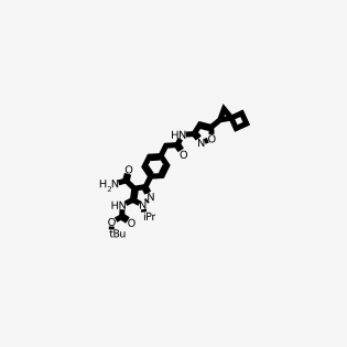 CC(C)n1nc(-c2ccc(CC(=O)Nc3cc(C4CC45CCC5)on3)cc2)c(C(N)=O)c1NC(=O)OC(C)(C)C